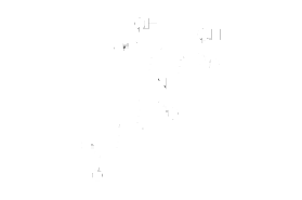 O=C(O)C=CC=CC(=O)N(C=CC(=O)O)C=CC(=O)O